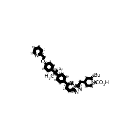 CC(C)C(C)(c1ccc(OCc2ccccn2)cc1)c1ccc(-c2ccc3nnc(CC4CCN(C(=O)O)C(C(C)(C)C)C4)n3n2)cc1